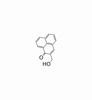 O=C1C(CO)=Cc2cccc3cccc1c23